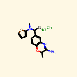 CCC(c1ccc2c(c1)N=C(N)C(C)O2)N(C)c1cccs1.Cl.Cl